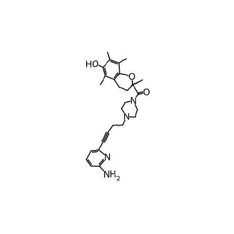 Cc1c(C)c2c(c(C)c1O)CCC(C)(C(=O)N1CCN(CCC#Cc3cccc(N)n3)CC1)O2